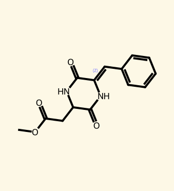 COC(=O)CC1NC(=O)/C(=C/c2ccccc2)NC1=O